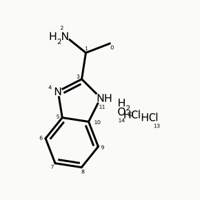 CC(N)c1nc2ccccc2[nH]1.Cl.Cl.O